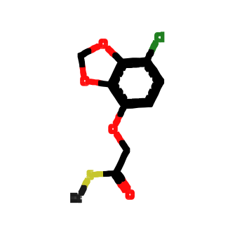 CCSC(=O)COc1ccc(Cl)c2c1OCO2